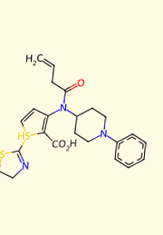 C=CCC(=O)N(C1=C(C(=O)O)[SH](C2=NCCS2)C=C1)C1CCN(c2ccccc2)CC1